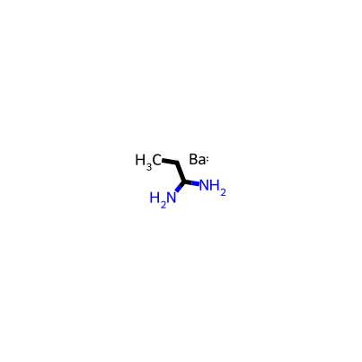 CCC(N)N.[Ba]